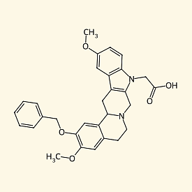 COc1ccc2c(c1)c1c(n2CC(=O)O)CN2CCc3cc(OC)c(OCc4ccccc4)cc3C2C1